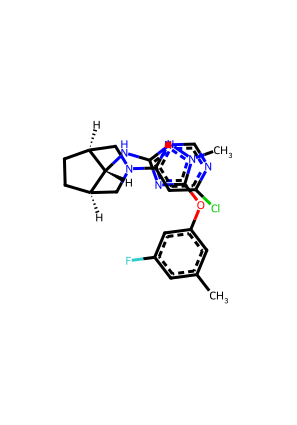 Cc1cc(F)cc(Oc2nc(N[C@@H]3[C@@H]4CC[C@H]3CN(c3cc(Cl)ncn3)C4)nn2C)c1